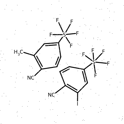 Cc1cc(S(F)(F)(F)(F)F)ccc1C#N.N#Cc1ccc(S(F)(F)(F)(F)F)cc1I